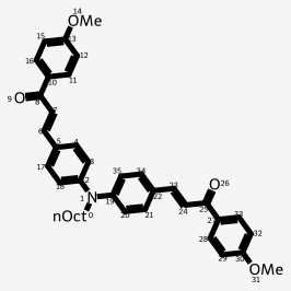 CCCCCCCCN(c1ccc(C=CC(=O)c2ccc(OC)cc2)cc1)c1ccc(C=CC(=O)c2ccc(OC)cc2)cc1